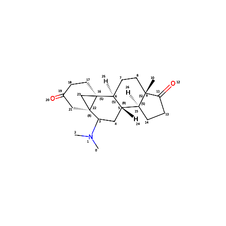 CN(C)C1C[C@@H]2[C@H](CC[C@]3(C)C(=O)CC[C@@H]23)[C@@]23CCC(=O)C[C@@]12C3